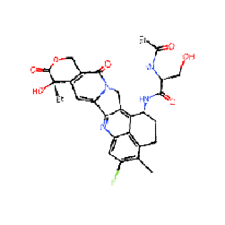 CCC(=O)N[C@@H](CO)C(=O)N[C@H]1CCc2c(C)c(F)cc3nc4c(c1c23)Cn1c-4cc2c(c1=O)COC(=O)[C@]2(O)CC